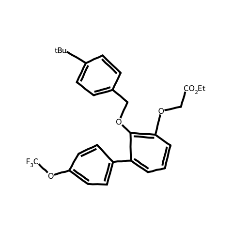 CCOC(=O)COc1cccc(-c2ccc(OC(F)(F)F)cc2)c1OCc1ccc(C(C)(C)C)cc1